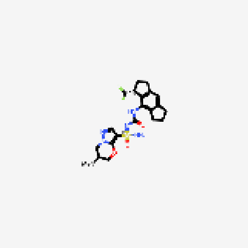 CNC1COc2c([S@@](N)(=O)=NC(=O)Nc3c4c(cc5c3[C@H](C(F)F)CC5)CCC4)cnn2C1